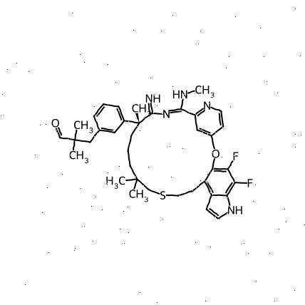 CN/C1=N\C(=N)[C@@](C)(c2cccc(CC(C)(C)C=O)c2)CCCC(C)(C)CSCCc2c(c(F)c(F)c3[nH]ccc23)Oc2ccnc1c2